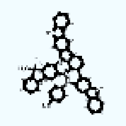 CC(C)(C)c1ccc(Nc2cc3c(cc2-c2ccc4c5cc6c(cc5n5c4c2Bc2cc4c(cc2-5)C(C)(C)c2ccccc2-4)sc2ccccc26)sc2ccccc23)cc1